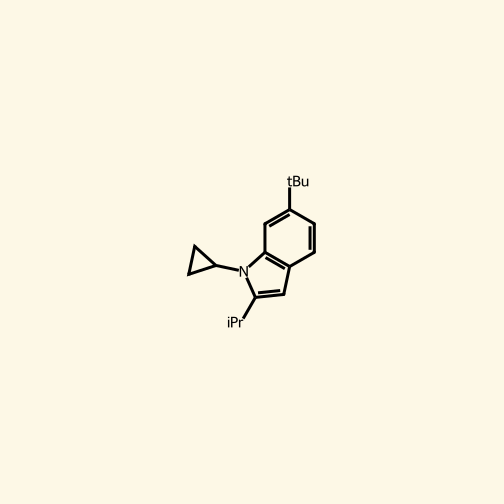 CC(C)c1cc2ccc(C(C)(C)C)cc2n1C1CC1